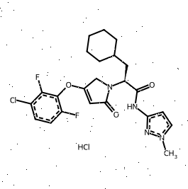 Cl.Cn1ccc(NC(=O)[C@H](CC2CCCCC2)N2CC(Oc3c(F)ccc(Cl)c3F)=CC2=O)n1